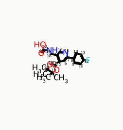 CC1(C)OB(c2cc(-c3ccc(F)cc3)ncc2CNC(=O)O)OC1(C)C